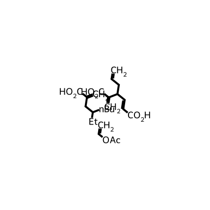 C=C(CC(CC)CCCC)C(=O)O.C=CCC(C=CC(=O)O)C(=C)C(=O)O.C=COC(C)=O